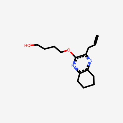 C=CCc1nc2c(nc1OCCCCO)CCCC2